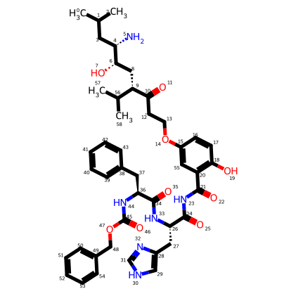 CC(C)C[C@H](N)[C@@H](O)C[C@H](C(=O)[CH]COc1ccc(O)c(C(=O)NC(=O)[C@H](Cc2c[nH]cn2)NC(=O)[C@H](Cc2ccccc2)NC(=O)OCc2ccccc2)c1)C(C)C